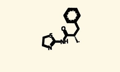 [CH2][C@@H](Cc1ccccc1)C(=O)NC1=NCCS1